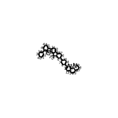 CC1(C)c2cc(-c3ccc(-c4ccc5ccc6cccnc6c5n4)cc3)ccc2-c2ccc3c(oc4c(-c5ccccc5)cccc43)c21